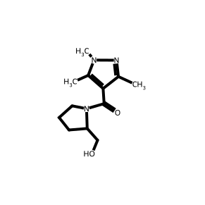 Cc1nn(C)c(C)c1C(=O)N1CCCC1CO